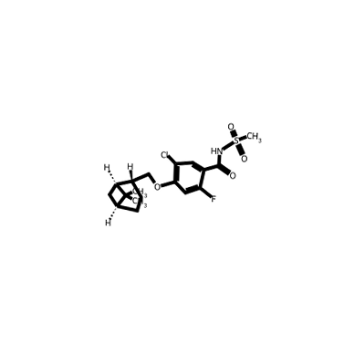 CC1(C)[C@H]2CC[C@@H](COc3cc(F)c(C(=O)NS(C)(=O)=O)cc3Cl)[C@@H]1C2